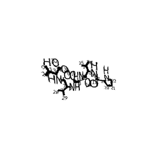 CC(C)[C@H](NC(=O)[C@@H](NC(=O)CNC(=O)[C@@H](NC(=O)[C@@H]1CCCN1)C(C)C)C(C)C)C(=O)O